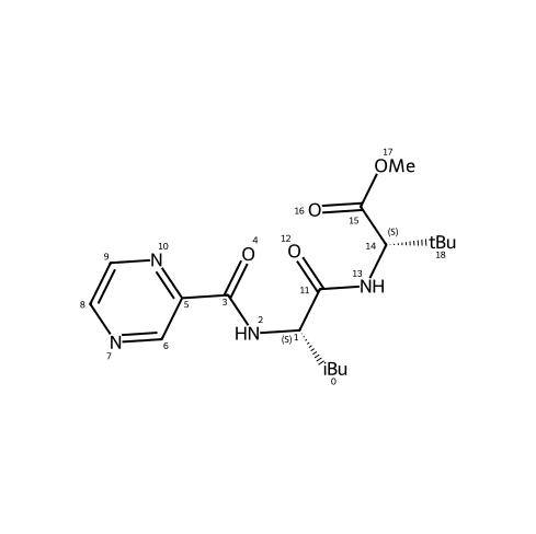 CCC(C)[C@H](NC(=O)c1cnccn1)C(=O)N[C@H](C(=O)OC)C(C)(C)C